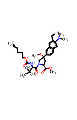 C=CCCCCOC(=O)NC(C(=O)N1C[C@](OC)(c2ccc3cc(N(C)C)c(C=C)cc3c2)C[C@H]1C(=O)OC)C(C)(C)C